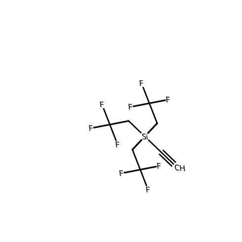 C#C[Si](CC(F)(F)F)(CC(F)(F)F)CC(F)(F)F